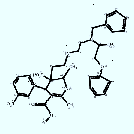 CC1=C(C(=O)OC(C)C)C(c2cccc([N+](=O)[O-])c2)C(CCNCCN(Cc2ccccc2)C(C)COc2ccccc2)(C(=O)O)C(C)N1